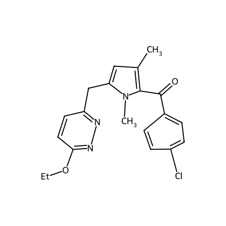 CCOc1ccc(Cc2cc(C)c(C(=O)c3ccc(Cl)cc3)n2C)nn1